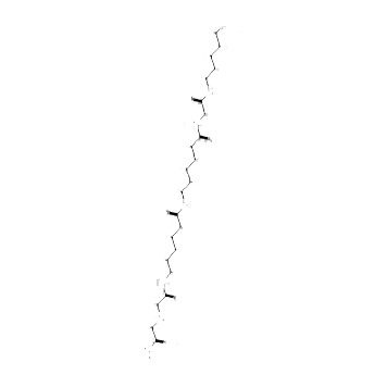 CCNC(=O)CNCC(=O)NCCCCCC(=O)NCCCCCC(=O)NCC(=O)NCCCCCC(=O)O